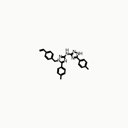 C=Cc1ccc(Cn2nc(Nc3n[nH]c(-c4ccc(C)cc4)n3)nc2-c2ccc(C)cc2)cc1